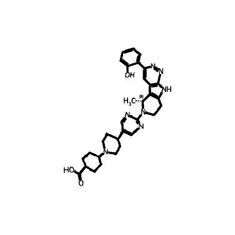 C[C@@H]1c2c([nH]c3nnc(-c4ccccc4O)cc23)CCN1c1ncc(C2CCN(C3CCC(C(=O)O)CC3)CC2)cn1